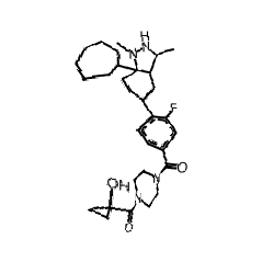 CC1NN(C)C2(C3CCCCCC3)CCC(c3ccc(C(=O)N4CCN(C(=O)C5(O)CC5)CC4)cc3F)CC12